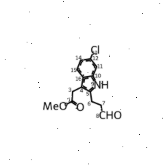 COC(=O)Cc1c(CCC=O)[nH]c2cc(Cl)ccc12